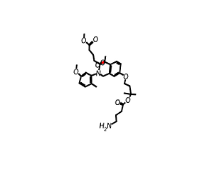 COC(=O)CCCC(=O)N(Cc1cc(OCCC(C)(C)OC(=O)CCCN)ccc1C(C)=O)c1cc(OC)ccc1C